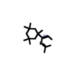 C/C=C(\N=C(C)C)C1(C)CC(C)(C)CC(C)(C)C1